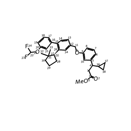 COC(=O)CC(c1cccc(OCc2ccc(-c3cccc(OC(F)F)c3)c([C@H]3CCCC3(C)C)c2)c1)C1CC1